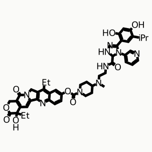 CCc1c2c(nc3ccc(OC(=O)N4CCC(N(C)CCNC(=O)C5NN=C(c6cc(C(C)C)c(O)cc6O)N5c5cccnc5)CC4)cc13)-c1cc3c(c(=O)n1C2)COC(=O)C3(O)CC